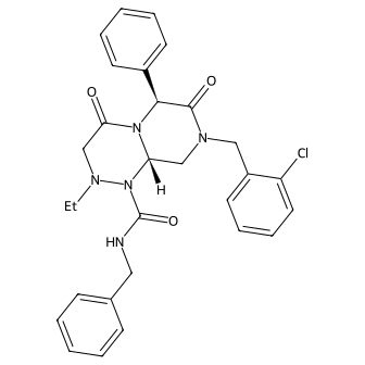 CCN1CC(=O)N2[C@@H](c3ccccc3)C(=O)N(Cc3ccccc3Cl)C[C@@H]2N1C(=O)NCc1ccccc1